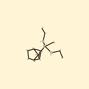 CCO[Si](C)(OCC)C1=CC2CCC1C2